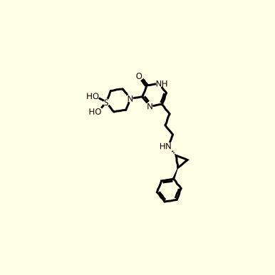 O=c1[nH]cc(CCCN[C@@H]2C[C@H]2c2ccccc2)nc1N1CCS(O)(O)CC1